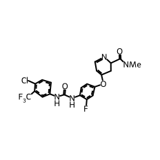 CNC(=O)C1CC(Oc2ccc(NC(=O)Nc3ccc(Cl)c(C(F)(F)F)c3)c(F)c2)=CC=N1